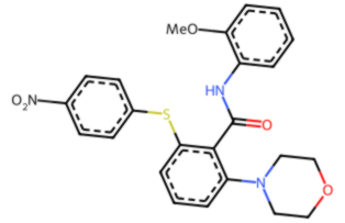 COc1ccccc1NC(=O)c1c(Sc2ccc([N+](=O)[O-])cc2)cccc1N1CCOCC1